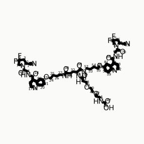 N#CC1CC(F)(F)CN1C(=O)CNC(=O)c1ccnc2ccc(OCCCCNC(=O)CCC(NC(=O)CCOCCOCCNC(=O)O)C(=O)NCCCCOc3ccc4nccc(C(=O)NCC(=O)N5CC(F)(F)CC5C#N)c4c3)cc12